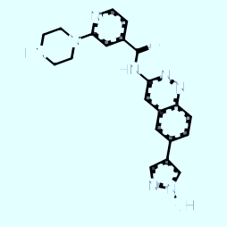 Cn1cc(-c2ccc3nnc(NC(=O)c4ccnc(N5CCNCC5)c4)cc3c2)cn1